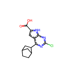 O=C(O)c1cc2c(C3CC4CCC3C4)nc(Cl)nc2[nH]1